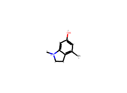 CC(C)c1cc(O)cc2c1CCN2C